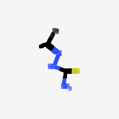 CCC(C)=NNC(N)=S